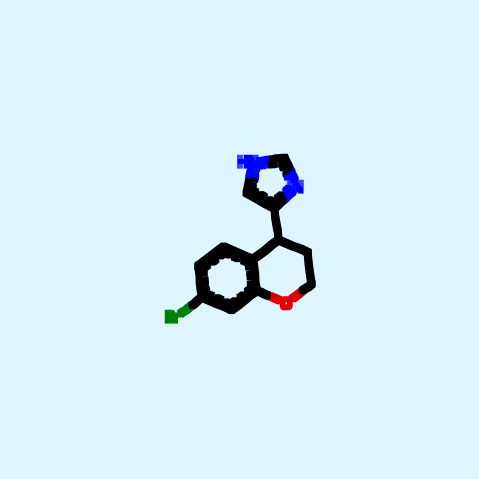 Brc1ccc2c(c1)OCCC2c1c[nH]cn1